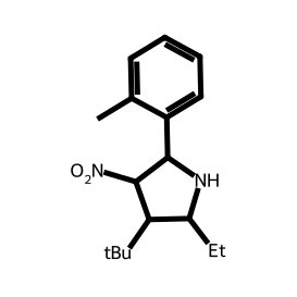 CCC1NC(c2ccccc2C)C([N+](=O)[O-])C1C(C)(C)C